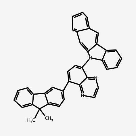 CC1(C)c2ccccc2-c2cc(-c3ccc(-n4c5ccccc5c5cc6ccccc6cc54)c4nccnc34)ccc21